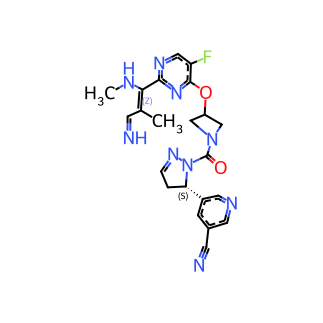 CN/C(=C(/C)C=N)c1ncc(F)c(OC2CN(C(=O)N3N=CC[C@H]3c3cncc(C#N)c3)C2)n1